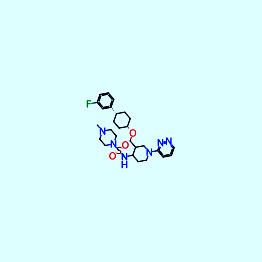 CN1CCN(S(=O)(=O)NC2CCN(c3cccnn3)CC2CO[C@H]2CC[C@@H](c3cccc(F)c3)CC2)CC1